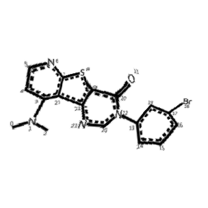 CN(C)c1ccnc2sc3c(=O)n(-c4cccc(Br)c4)cnc3c12